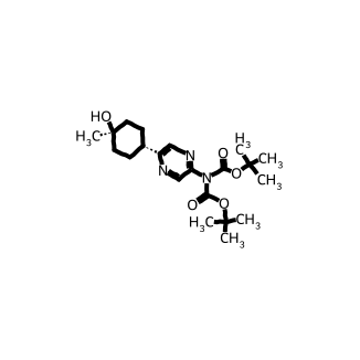 CC(C)(C)OC(=O)N(C(=O)OC(C)(C)C)c1cnc([C@H]2CC[C@](C)(O)CC2)cn1